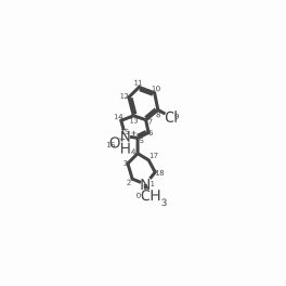 CN1CCC(C2=Cc3c(Cl)cccc3C[NH+]2[O-])CC1